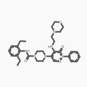 CCc1cccc(CC)c1NC(=O)N1CCN(c2cnn(-c3ccccc3)c(=O)c2NCCN2CCOCC2)CC1